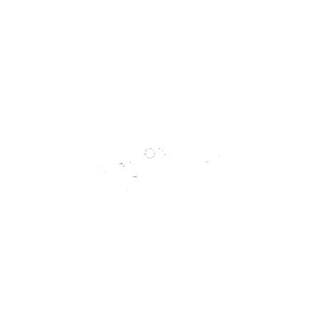 CCCCCCCC/C=C\CCCCCCCC(=O)Nc1ccc(C(CNC(=O)C2OC(C)(C)OCC2(C)C)C(=O)O)cc1